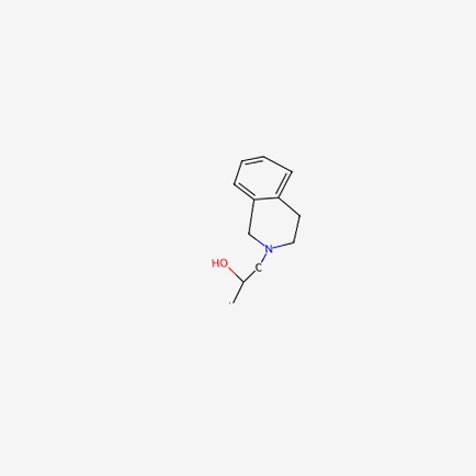 [CH2]C(O)CN1CCc2ccccc2C1